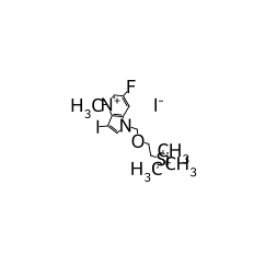 C[n+]1cc(F)cc2c1c(I)cn2COCC[Si](C)(C)C.[I-]